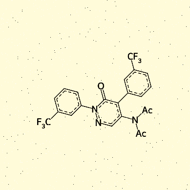 CC(=O)N(C(C)=O)c1cnn(-c2cccc(C(F)(F)F)c2)c(=O)c1-c1cccc(C(F)(F)F)c1